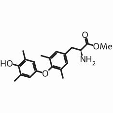 COC(=O)[C@@H](N)Cc1cc(C)c(Oc2cc(C)c(O)c(C)c2)c(C)c1